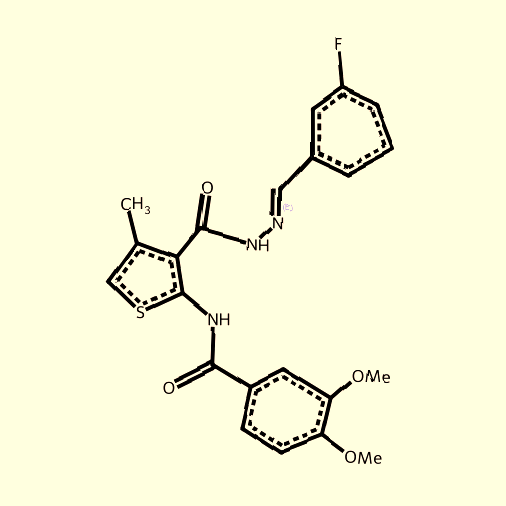 COc1ccc(C(=O)Nc2scc(C)c2C(=O)N/N=C/c2cccc(F)c2)cc1OC